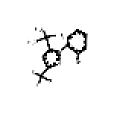 CC(C)(C)c1cc(C(F)(F)F)nn1-c1ccccc1Br